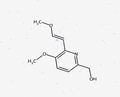 CO/C=C/c1nc(CO)ccc1OC